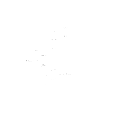 COc1cc(Cl)cc(-c2cc(-c3ccc(S(N)(=O)=O)cc3)c(CO)c(OC)n2)c1